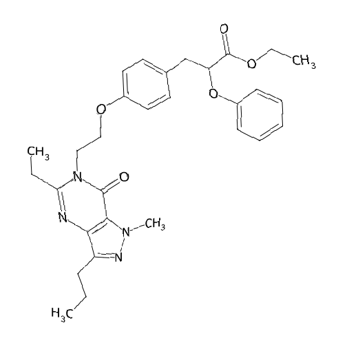 CCCc1nn(C)c2c(=O)n(CCOc3ccc(CC(Oc4ccccc4)C(=O)OCC)cc3)c(CC)nc12